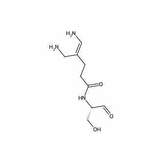 N/C=C(\CN)CCC(=O)N[C@H](C=O)CO